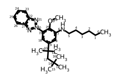 CCCCCCNc1cc(C(C)(C)CC(C)(C)C)cc(-n2nc3ccccc3n2)c1OC